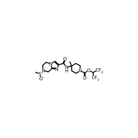 C[S+]([O-])N1CCn2cc(C(=O)NC3(C)CCN(C(=O)OC(C(F)(F)F)C(F)(F)F)CC3)nc2C1